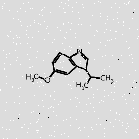 COc1ccc2c(c1)C(C(C)C)C=N2